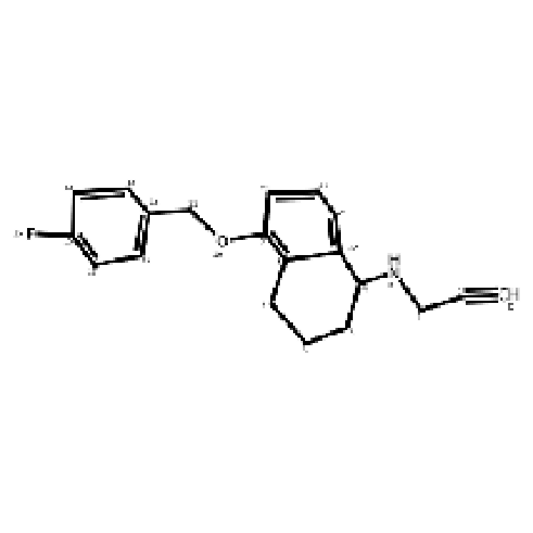 C#CCNC1CCCc2c(OCc3ccc(F)cc3)cccc21